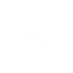 C=C1N(CC/C=C(C)\C=C/CC)CCN1/C(=C/C=C(/c1cn[nH]c1)[C@@H](C)CC)CCC